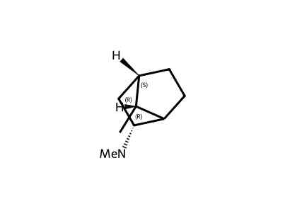 CN[C@@H]1C[C@@H]2CCC1[C@@H]2C